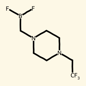 FB(F)CN1CCN(CC(F)(F)F)CC1